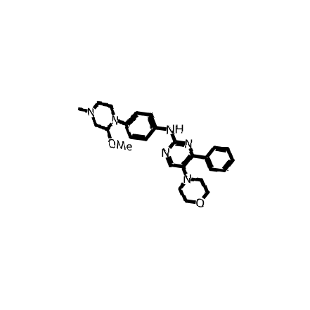 COC1CN(C)CCN1c1ccc(Nc2ncc(N3CCOCC3)c(-c3c[c]ccc3)n2)cc1